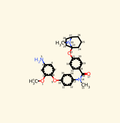 COc1cc(N)ccc1Oc1ccc(N(C)C(=O)c2ccc(OC34CCCC(CC3)N4C)cc2)cc1